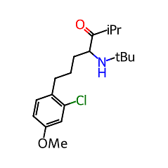 COc1ccc(CCCC(NC(C)(C)C)C(=O)C(C)C)c(Cl)c1